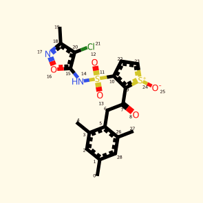 Cc1cc(C)c(CC(=O)c2c(S(=O)(=O)Nc3onc(C)c3Cl)cc[s+]2[O-])c(C)c1